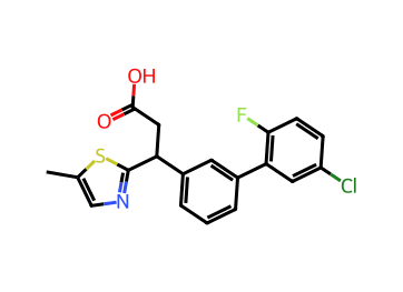 Cc1cnc(C(CC(=O)O)c2cccc(-c3cc(Cl)ccc3F)c2)s1